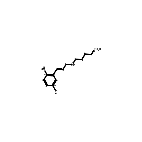 O=C(O)CCCCNCC=Cc1cc(Cl)ccc1O